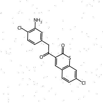 Nc1cc(CC(=O)c2cc3ccc(Cl)cc3sc2=O)ccc1Cl